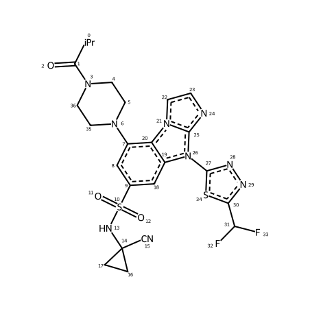 CC(C)C(=O)N1CCN(c2cc(S(=O)(=O)NC3(C#N)CC3)cc3c2n2ccnc2n3-c2nnc(C(F)F)s2)CC1